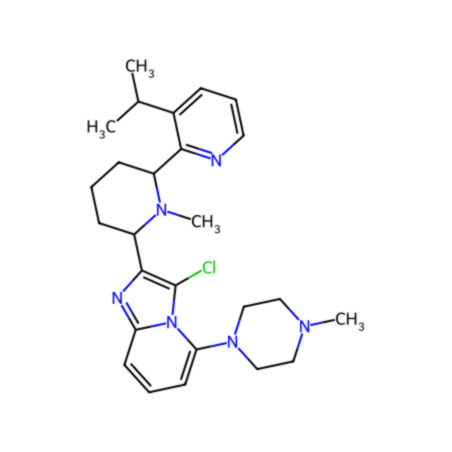 CC(C)c1cccnc1C1CCCC(c2nc3cccc(N4CCN(C)CC4)n3c2Cl)N1C